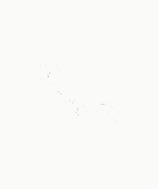 CC(=O)Oc1cc(-c2cnc(NCC(N)Cc3ccc(O)c(F)c3)s2)ccc1C